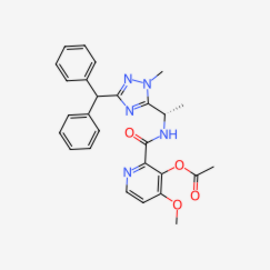 COc1ccnc(C(=O)N[C@@H](C)c2nc(C(c3ccccc3)c3ccccc3)nn2C)c1OC(C)=O